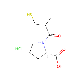 CC(CS)C(=O)N1CCC[C@H]1C(=O)O.Cl